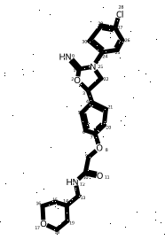 N=C1OC(c2ccc(OCC(=O)NCC3CCOCC3)cc2)CN1c1ccc(Cl)cc1